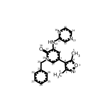 Cc1noc(C)c1-c1cc(Nc2cnccn2)c(=O)n(Cc2ccccc2)c1